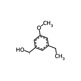 CCc1cc([CH]O)cc(OC)c1